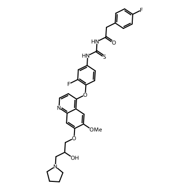 COc1cc2c(Oc3ccc(NC(=S)NC(=O)Cc4ccc(F)cc4)cc3F)ccnc2cc1OCC(O)CN1CCCC1